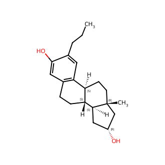 CCCc1cc2c(cc1O)CC[C@@H]1[C@@H]2CC[C@]2(C)C[C@H](O)C[C@@H]12